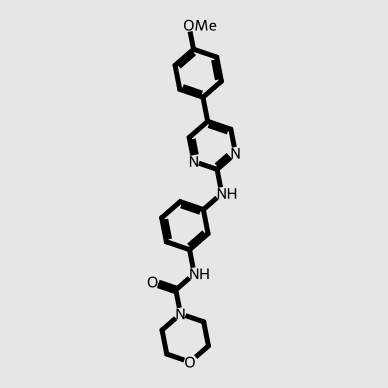 COc1ccc(-c2cnc(Nc3cccc(NC(=O)N4CCOCC4)c3)nc2)cc1